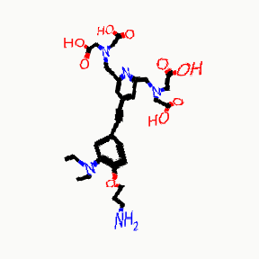 CCN(CC)c1cc(C#Cc2cc(CN(CC(=O)O)CC(=O)O)nc(CN(CC(=O)O)CC(=O)O)c2)ccc1OCCCN